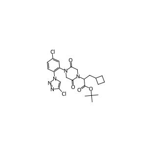 CC(C)(C)OC(=O)C(CC1CCC1)N1CC(=O)N(c2cc(Cl)ccc2-n2cc(Cl)nn2)CC1=O